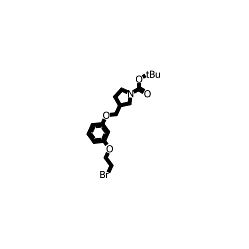 CC(C)(C)OC(=O)N1CCC(COc2cccc(OCCBr)c2)C1